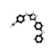 [C-]#[N+]c1ccc(OC2=NO[C@@H](c3ccc(Oc4ccccc4)cc3)C2)cc1